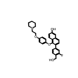 OCc1ccc(-c2ccc3cc(O)ccc3c2Oc2ccc(OCCN3CCCCC3)cc2)cc1F